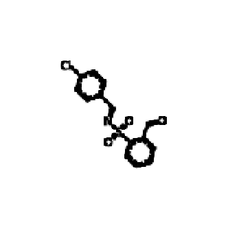 O=Cc1ccccc1S(=O)(=O)/N=C/c1ccc(Cl)cc1